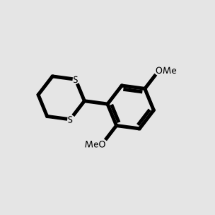 COc1ccc(OC)c(C2SCCCS2)c1